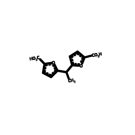 CC(c1ccc(C(=O)O)o1)c1ccc(C(=O)O)o1